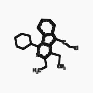 CCc1nc(C2CCCCC2)n2c(c1CC)c(CCCl)c1ccccc12